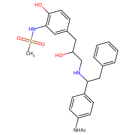 CC(=O)Nc1ccc(C(Cc2ccccc2)NCC(O)Cc2ccc(O)c(NS(C)(=O)=O)c2)cc1